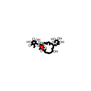 CCc1c(Cl)c(O)c(Cl)c(O)c1C(=O)OC1C(C)OC(OC/C2=C\C=C\CC(O)/C(C)=C/C(CC)C(OC3OC(C)(C)C(O)C(O)C3O)/C(C)=C/C(C)=C/CC(CC)OC2=O)C(OC)C1O